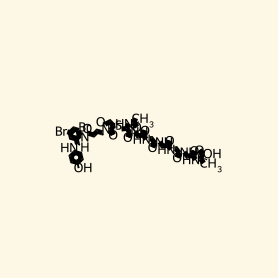 CC(=O)NC(CSC1CC(=O)N(CCCC(=O)Nc2c(Br)cc(Br)cc2CN[C@H]2CC[C@H](O)CC2)C1=O)C(=O)NCC(=O)NCC(=O)NCC(=O)NCC(=O)NCC(=O)NC(C)C(=O)O